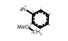 CC(C)c1ccccc1.COC